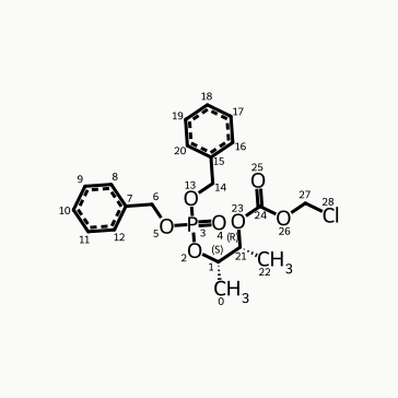 C[C@H](OP(=O)(OCc1ccccc1)OCc1ccccc1)[C@@H](C)OC(=O)OCCl